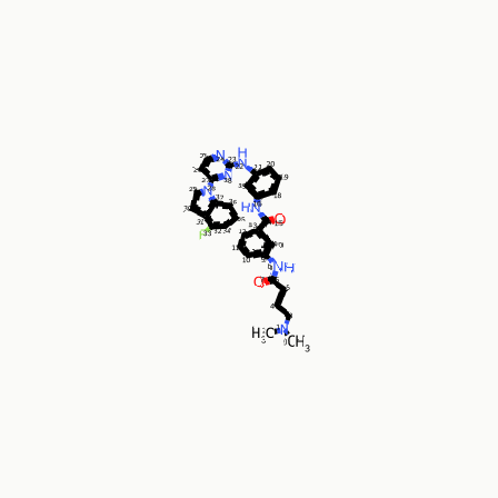 CN(C)CC=CC(=O)Nc1cccc(C(=O)Nc2cccc(Nc3nccc(-n4ccc5c(F)cccc54)n3)c2)c1